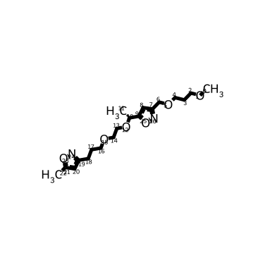 COCCCOCc1cc([C@H](C)OCCOCCCc2cc(C)on2)on1